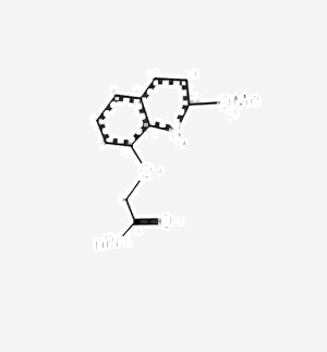 CCCC(=O)COc1cccc2ccc(OC)nc12